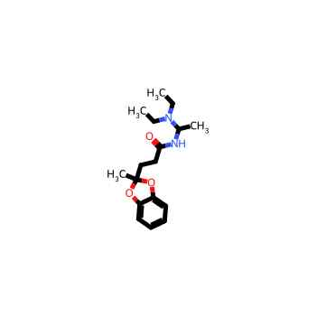 CCN(CC)C(C)NC(=O)CCC1(C)Oc2ccccc2O1